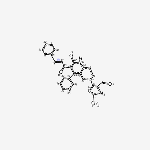 Cc1nc(C=O)c(-c2ccc3[nH]c(=O)c(C(=O)/C=C/c4ccccc4)c(-c4cccnc4)c3c2)o1